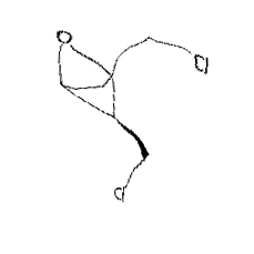 ClC[C@H]1C2OC21CCl